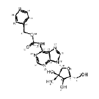 C[C@]1(O)C(O)[C@@H](CO)O[C@H]1n1cnc2c(NC(=O)OCc3ccccc3)ncnc21